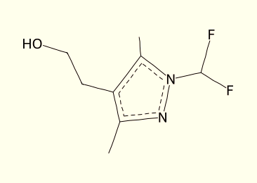 Cc1nn(C(F)F)c(C)c1CCO